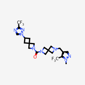 Cn1ncc(CN2CC3(C2)CN(C(=O)N2CC4(CC(n5cnc(C(F)(F)F)n5)C4)C2)C3)c1C(F)(F)F